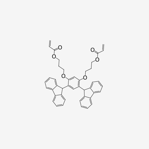 C=CC(=O)OCCCOc1cc(OCCCOC(=O)C=C)c(C2c3ccccc3-c3ccccc32)cc1C1c2ccccc2-c2ccccc21